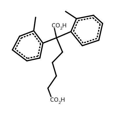 Cc1ccccc1C(CCCCC(=O)O)(C(=O)O)c1ccccc1C